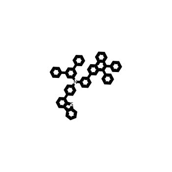 c1ccc(-c2cc(-c3ccccc3)cc(N(c3ccc(-c4cccc5c4sc4ccccc45)cc3)c3cccc(-c4ccc5c(c4)c(-c4ccccc4)c(-c4ccccc4)c4ccccc45)c3)c2)cc1